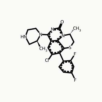 C[C@@H]1CSc2c(-c3ccc(F)cc3F)c(Cl)cc3c(N4CCNC[C@@H]4C)nc(=O)n1c23